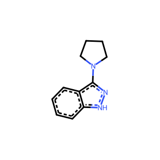 c1ccc2c(N3CCCC3)n[nH]c2c1